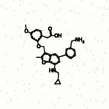 COc1ccc(CC(=O)O)c(OCc2c(C)oc3c(NCC4CC4)cc(-c4cccc(CN)c4)cc23)c1